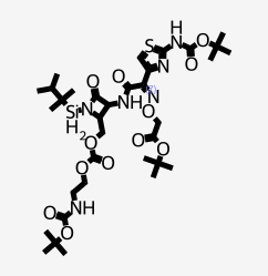 CC(C)C(C)(C)[SiH2]N1C(=O)C(NC(=O)/C(=N\OCC(=O)OC(C)(C)C)c2csc(NC(=O)OC(C)(C)C)n2)C1COC(=O)OCCNC(=O)OC(C)(C)C